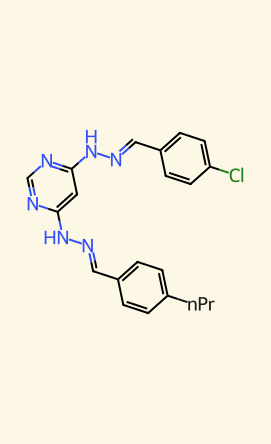 CCCc1ccc(/C=N/Nc2cc(N/N=C/c3ccc(Cl)cc3)ncn2)cc1